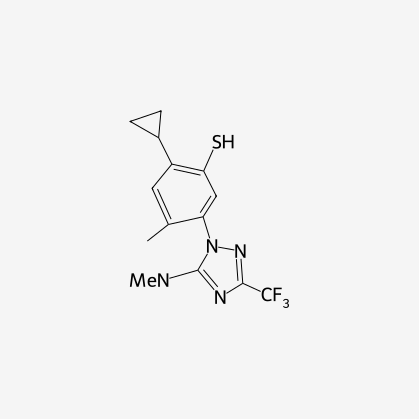 CNc1nc(C(F)(F)F)nn1-c1cc(S)c(C2CC2)cc1C